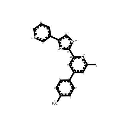 Cc1cc(-c2ccc(C(F)(F)F)cc2)cc(-c2nc(-c3cccnc3)cs2)n1